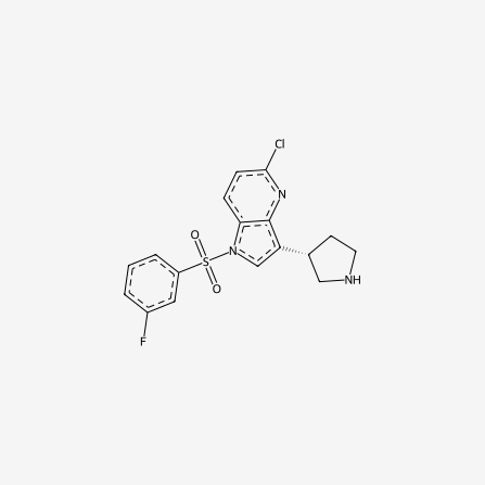 O=S(=O)(c1cccc(F)c1)n1cc([C@@H]2CCNC2)c2nc(Cl)ccc21